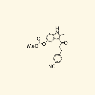 COC(=O)Oc1ccc2[nH]c(C)c(C(=O)CCc3ccc(C#N)cc3)c2c1